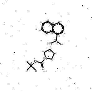 C[C@@H](N[C@@H]1CCN(C(=O)OC(C)(C)C)C1)c1cccc2ccccc12